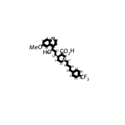 COc1ccc2nccc([C@@H](O)CC[C@@H]3CCN(CCCCc4ccc(C(F)(F)F)cc4)C[C@@H]3C(=O)O)c2c1